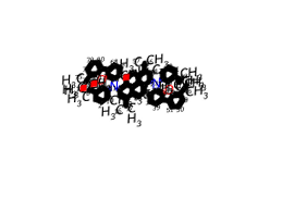 Cc1ccc(C(C)(C)C)cc1N(c1cc(C(C)C)c2ccc3c(N(c4cc(C(C)(C)C)ccc4C)c4c(C)ccc5c4oc4c(C(C)(C)C)cccc45)cc(C(C)C)c4ccc1c2c43)c1c(C)ccc2c1oc1c(C(C)(C)C)cccc12